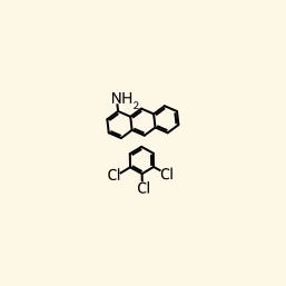 Clc1cccc(Cl)c1Cl.Nc1cccc2cc3ccccc3cc12